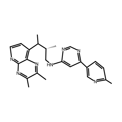 Cc1ccc(-c2cc(NC[C@@H](C)C(C)c3ccnc4nc(C)c(C)nc34)ncn2)cn1